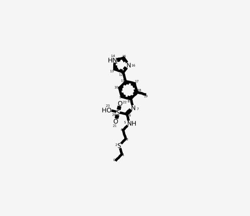 CCSCCNC(=Nc1ccc(-c2c[nH]cn2)cc1C)S(=O)(=O)O